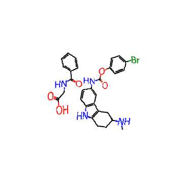 CNC1CCc2[nH]c3ccc(NC(=O)Oc4ccc(Br)cc4)cc3c2C1.O=C(O)CNC(=O)c1ccccc1